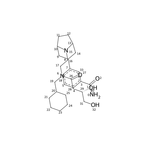 NC(=O)c1cccc(C2CC3CCC(C2)N3CCN(CC2CCCCC2)C(=O)C[C@H](O)CO)c1